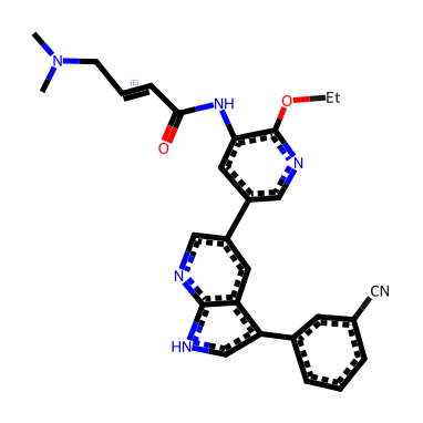 CCOc1ncc(-c2cnc3[nH]cc(-c4cccc(C#N)c4)c3c2)cc1NC(=O)/C=C/CN(C)C